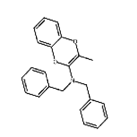 CC1=C(N(Cc2ccccc2)Cc2ccccc2)Oc2ccccc2O1